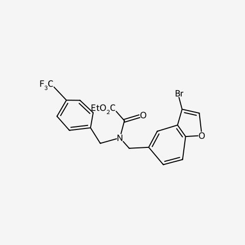 CCOC(=O)C(=O)N(Cc1ccc(C(F)(F)F)cc1)Cc1ccc2occ(Br)c2c1